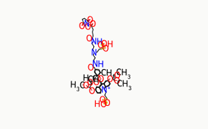 COCC(COC)Oc1ccc2c(c1)c(C(=O)Oc1c(C)cc(C(=O)NCCCN(CCCNC(=O)CCCC(=O)ON3C(=O)CCC3=O)CCCS(=O)(=O)O)cc1C)c1cc(OC(COC)COC)ccc1[n+]2CCCS(=O)(=O)O